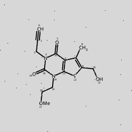 C#CCn1c(=O)c2c(C)c(CO)sc2n(CCOC)c1=O